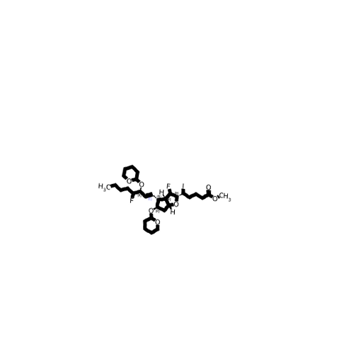 CCCCC(F)[C@@H](/C=C/[C@@H]1[C@H]2C(F)[C@H](C(I)CCCC(=O)OC)O[C@@H]2C[C@H]1OC1CCCCO1)OC1CCCCO1